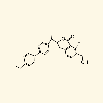 CCc1ccc(-c2ccc(C(C)C3Cc4ccc(CO)c(F)c4C(=O)O3)cc2)cc1